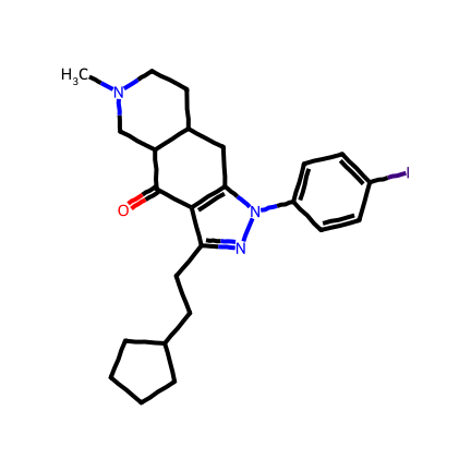 CN1CCC2Cc3c(c(CCC4CCCC4)nn3-c3ccc(I)cc3)C(=O)C2C1